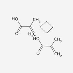 C1CCC1.C=C(C)C(=O)O.C=C(C)C(=O)O